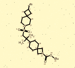 CC(C)C1CC2(CCN(S(=O)(=O)CC(C)(C)C3CCC4(CC3)CN(C(=O)OC(C)(C)C)C4)CC2)C1